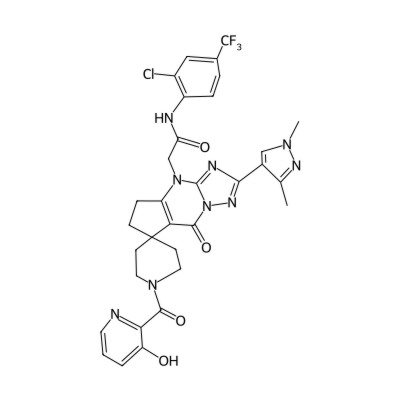 Cc1nn(C)cc1-c1nc2n(CC(=O)Nc3ccc(C(F)(F)F)cc3Cl)c3c(c(=O)n2n1)C1(CC3)CCN(C(=O)c2ncccc2O)CC1